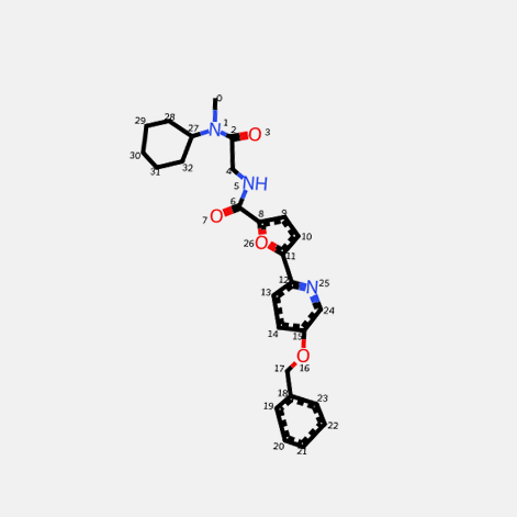 CN(C(=O)CNC(=O)c1ccc(-c2ccc(OCc3ccccc3)cn2)o1)C1CCCCC1